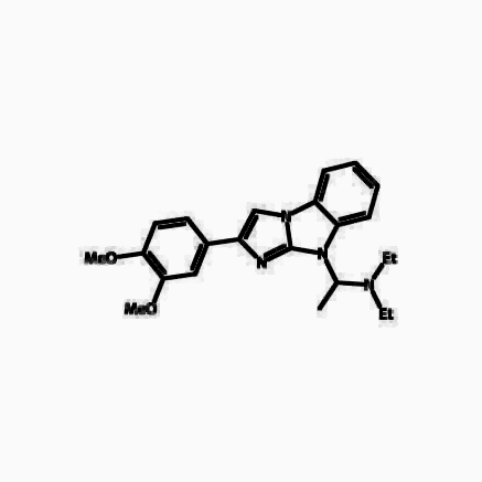 CCN(CC)C(C)n1c2ccccc2n2cc(-c3ccc(OC)c(OC)c3)nc12